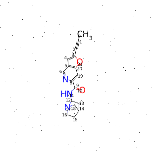 CC#Cc1cc2cnc(C(=O)NC3CC4CCN3C4)cc2o1